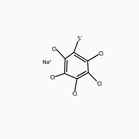 [Na+].[S-]c1c(Cl)c(Cl)c(Cl)c(Cl)c1Cl